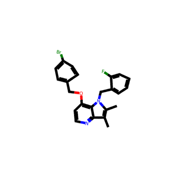 Cc1c(C)n(Cc2ccccc2F)c2c(OCc3ccc(Br)cc3)ccnc12